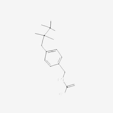 CC(C)(C)C(=O)NCc1ccc(CC(C)(C)C(C)(C)O)cc1